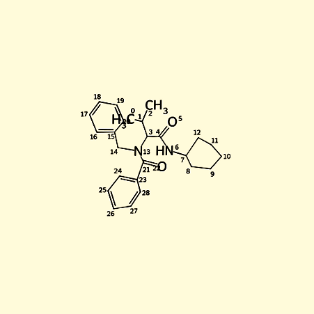 CC(C)C(C(=O)NC1CCCCC1)N(Cc1ccccc1)C(=O)c1ccccc1